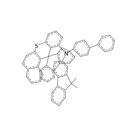 CC1(C)c2ccccc2-c2ccc(N(c3ccc(-c4ccccc4)cc3)c3cccc4c3C3(c5ccccc5-c5ccccc53)c3c(ccc5ccccc35)S4)cc21